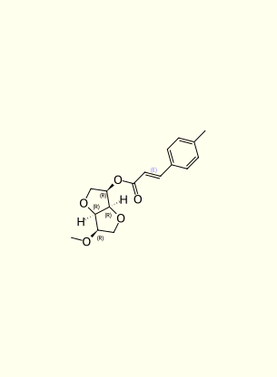 CO[C@@H]1CO[C@H]2[C@@H]1OC[C@H]2OC(=O)/C=C/c1ccc(C)cc1